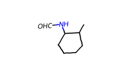 CC1CCCCC1NC=O